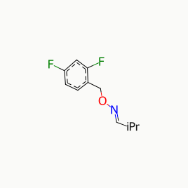 CC(C)C=NOCc1ccc(F)cc1F